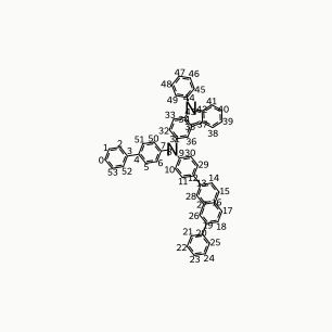 c1ccc(-c2ccc(N(c3ccc(-c4ccc5ccc(-c6ccccc6)cc5c4)cc3)c3ccc4c(c3)c3ccccc3n4-c3ccccc3)cc2)cc1